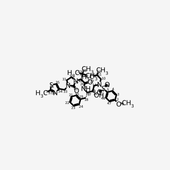 COc1ccc(S(=O)(=O)N(CC(C)C)C[C@H](O)[C@H](Cc2ccccc2)NC(=O)[C@@H](N2CCN(Cc3csc(C)n3)C2=O)C(C)(C)C)cc1